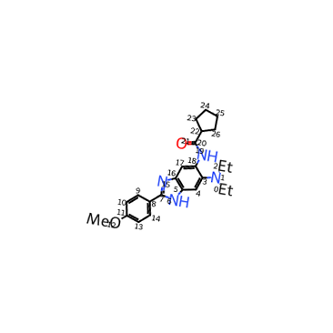 CCN(CC)c1cc2[nH]c(-c3ccc(OC)cc3)nc2cc1NC(=O)C1CCCC1